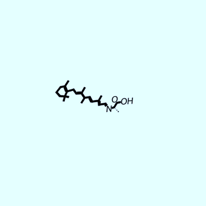 CC1=C(C/C=C(\C)C(C)/C=C/C(C)=C/C=N[C@@H](C)C(=O)O)C(C)(C)CCC1